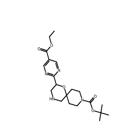 CCOC(=O)c1cnc(C2CNCC3(CCN(C(=O)OC(C)(C)C)CC3)O2)nc1